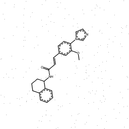 COc1cc(C=CC(=O)NC2CCCc3ccccc32)ccc1-n1ccnc1